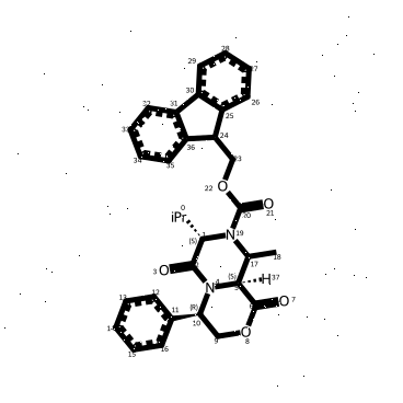 CC(C)[C@H]1C(=O)N2[C@H](C(=O)OC[C@H]2c2ccccc2)C(C)N1C(=O)OCC1c2ccccc2-c2ccccc21